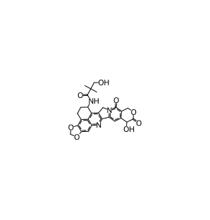 CC(C)(CO)C(=O)NC1CCc2c3c(cc4nc5c(c1c24)Cn1c-5cc2c(c1=O)COC(=O)C2O)OCO3